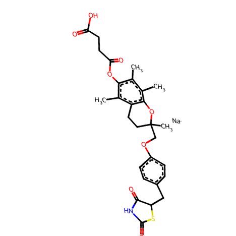 Cc1c(C)c2c(c(C)c1OC(=O)CCC(=O)O)CCC(C)(COc1ccc(CC3SC(=O)NC3=O)cc1)O2.[Na]